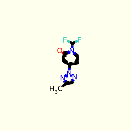 Cc1cnn(-c2ccn(C(F)F)c(=O)c2)n1